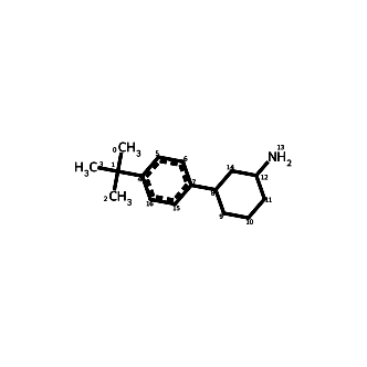 CC(C)(C)c1ccc(C2CCCC(N)C2)cc1